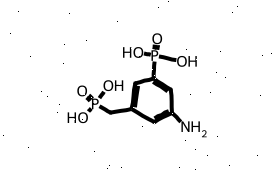 Nc1cc(CP(=O)(O)O)cc(P(=O)(O)O)c1